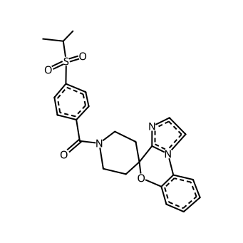 CC(C)S(=O)(=O)c1ccc(C(=O)N2CCC3(CC2)Oc2ccccc2-n2ccnc23)cc1